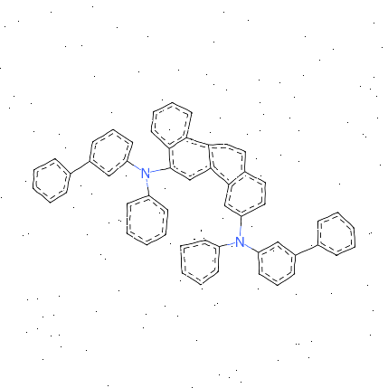 c1ccc(-c2cccc(N(c3ccccc3)c3ccc4ccc5c6ccccc6c(N(c6ccccc6)c6cccc(-c7ccccc7)c6)cc5c4c3)c2)cc1